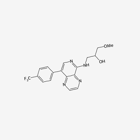 COCC(O)CNc1ncc(-c2ccc(C(F)(F)F)cc2)c2nccnc12